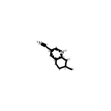 CC1CCc2cc(C#N)cnc2C1